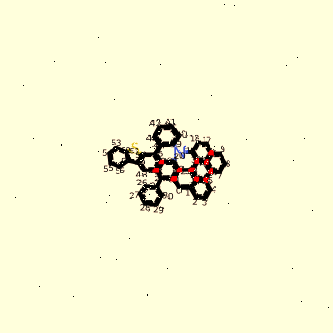 C1=c2cccc(-c3ccccc3)c2=C(c2ccccc2N(c2ccc(-c3ccccc3)cc2-c2ccccc2)c2ccccc2-c2cccc3c2sc2ccccc23)CC1